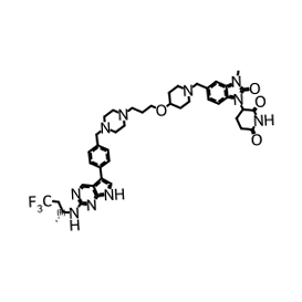 C[C@H](CC(F)(F)F)Nc1ncc2c(-c3ccc(CN4CCN(CCCOC5CCN(Cc6ccc7c(c6)n(C)c(=O)n7C6CCC(=O)NC6=O)CC5)CC4)cc3)c[nH]c2n1